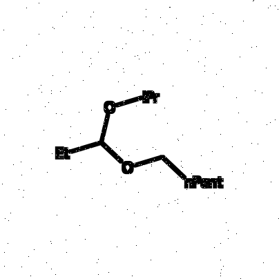 [CH2]CC(OCCCCCC)OC(C)C